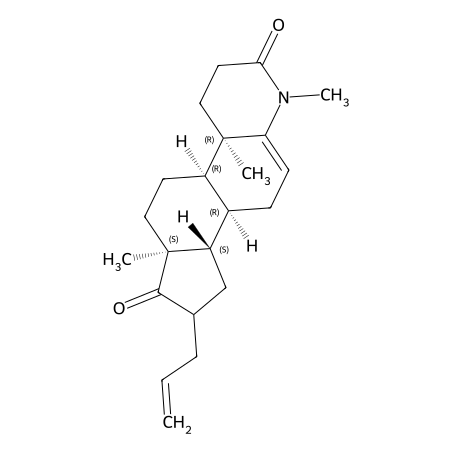 C=CCC1C[C@H]2[C@@H]3CC=C4N(C)C(=O)CC[C@]4(C)[C@@H]3CC[C@]2(C)C1=O